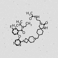 CCN(C(=O)c1cc(F)ccc1Oc1cncnc1N1CC2(CCN(CC3CCC4(CC3)CN(CCNC(C)=O)C(=O)N4)CC2)C1)C(C)C